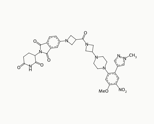 COc1cc(N2CCN(C3CN(C(=O)C4CN(c5ccc6c(c5)C(=O)N(C5CCC(=O)NC5=O)C6=O)C4)C3)CC2)c(-c2cnn(C)c2)cc1[N+](=O)[O-]